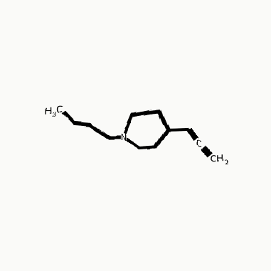 C=C=CC1CCN(CCCC)CC1